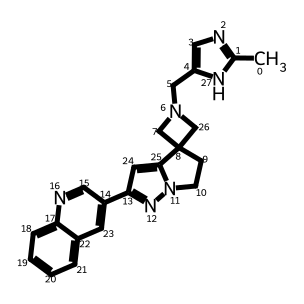 Cc1ncc(CN2CC3(CCn4nc(-c5cnc6ccccc6c5)cc43)C2)[nH]1